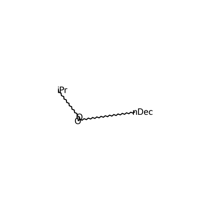 CCCCCCCCCCCCCCCCCCCCCCCCCCCCCCCCCCCC(=O)OCCCCCCCCCCCCCCCC(C)C